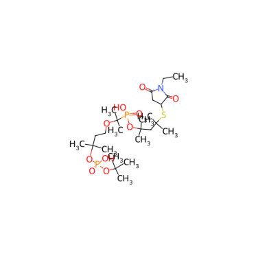 CCN1C(=O)CC(SC(C)(C)CC(C)(C)OP(=O)(O)C(C)(C)OCCC(C)(C)OP(=O)(O)OC(C)(C)C)C1=O